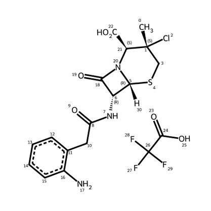 C[C@@]1(Cl)CS[C@@H]2[C@H](NC(=O)Cc3ccccc3N)C(=O)N2[C@H]1C(=O)O.O=C(O)C(F)(F)F